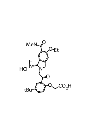 CCOc1cc2c(cc1C(=O)NC)C(=N)N(CC(=O)c1cc(C(C)(C)C)ccc1OCC(=O)O)C2.Cl